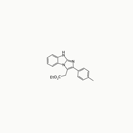 CCOC(=O)Cc1c(-c2ccc(C)cc2)nc2[nH]c3ccccc3n12